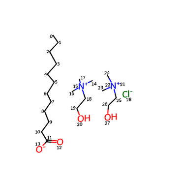 CCCCCCCCCCCC(=O)[O-].C[N+](C)(C)CCO.C[N+](C)(C)CCO.[Cl-]